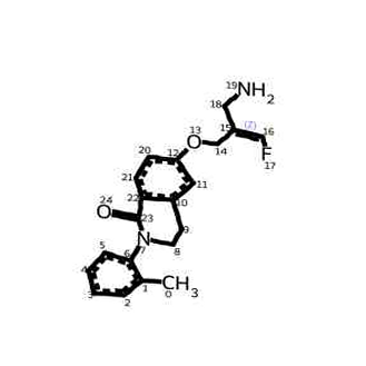 Cc1ccccc1N1CCc2cc(OC/C(=C\F)CN)ccc2C1=O